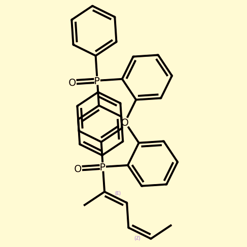 C/C=C\C=C(/C)P(=O)(c1ccccc1)c1ccccc1Oc1ccccc1P(=O)(c1ccccc1)c1ccccc1